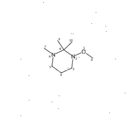 CON1CCCN(C)C1(C)C